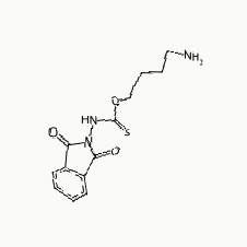 NCCCCOC(=S)NN1C(=O)c2ccccc2C1=O